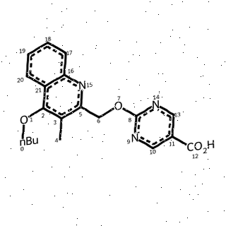 CCCCOc1c(C)c(COc2ncc(C(=O)O)cn2)nc2ccccc12